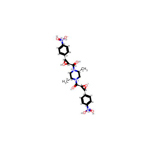 C[C@@H]1CN(C(=O)[C@H]2O[C@@H]2c2ccc([N+](=O)[O-])cc2)[C@H](C)CN1C(=O)[C@H]1O[C@@H]1c1ccc([N+](=O)[O-])cc1